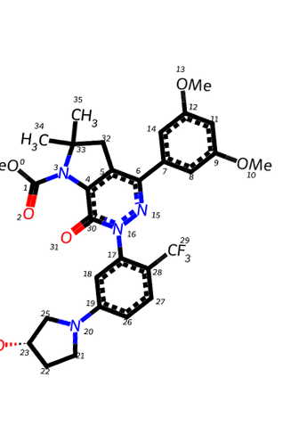 COC(=O)N1c2c(c(-c3cc(OC)cc(OC)c3)nn(-c3cc(N4CC[C@H](O)C4)ccc3C(F)(F)F)c2=O)CC1(C)C